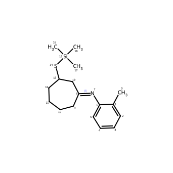 Cc1ccccc1/N=C1\CCCCC(S[Si](C)(C)C)C1